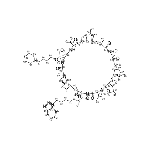 CC[C@@H]1NC(=O)[C@@H]2[C@@H]([C@H](C)CCCCCn3nnc4ccccc43)ON2C(=O)[C@H](C(C)C)N(C)C(=O)[C@H](CC(C)C)N(C)C(=O)[C@H](CC(C)C)N(C)C(=O)[C@@H](C)NC(=O)[C@H](C)NC(=O)[C@H](CC(C)C)N(C)C(=O)[C@H](C(C)C)NC(=O)[C@H]([C@@H](C)OCCCCN2CCOCC2)N(C)C(=O)[C@@H](C)N(C)C1=O